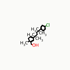 CC1CC=C(C(C)(C)CCC(C)(C)c2ccc(Cl)cc2)C=C1CO